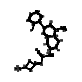 Cc1ccncc1-c1cc2cc(NC(=O)C=C3CC(N)C3)ncc2c(N)n1